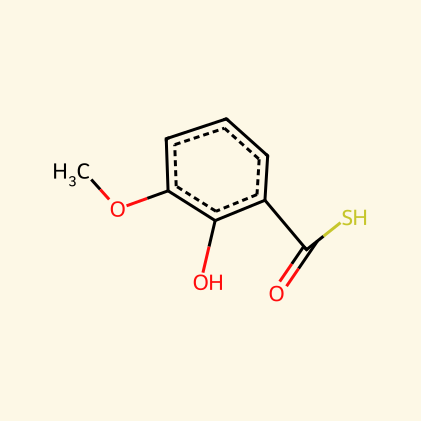 COc1cccc(C(=O)S)c1O